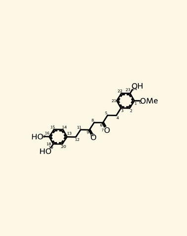 COc1cc(CCC(=O)CC(=O)CCc2ccc(O)c(O)c2)ccc1O